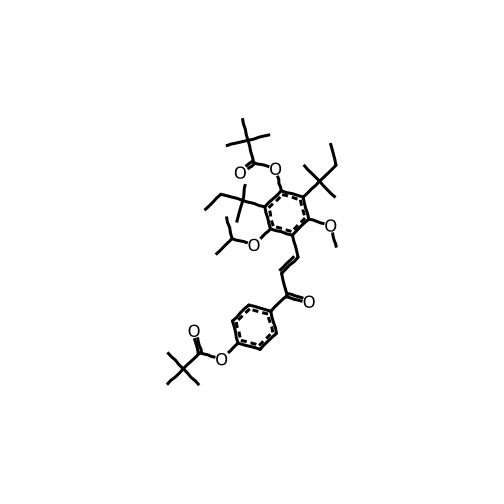 CCC(C)(C)c1c(OC)c(C=CC(=O)c2ccc(OC(=O)C(C)(C)C)cc2)c(OC(C)C)c(C(C)(C)CC)c1OC(=O)C(C)(C)C